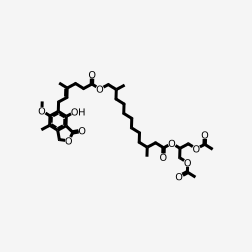 COc1c(C)c2c(c(O)c1C/C=C(\C)CCC(=O)OCC(C)CCCCCCCC(C)CC(=O)OC(COC(C)=O)COC(C)=O)C(=O)OC2